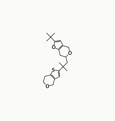 CC(C)(C)c1cc2c(o1)CC(CC(C)(C)c1cc3c(s1)CCOC3)OC2